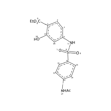 CCOC(=O)c1ccc(NS(=O)(=O)c2ccc(NC(C)=O)cc2)cc1O